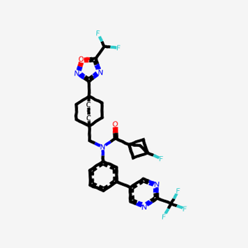 O=C(N(CC12CCC(c3noc(C(F)F)n3)(CC1)CC2)c1cccc(-c2cnc(C(F)(F)F)nc2)c1)C12CC(F)(C1)C2